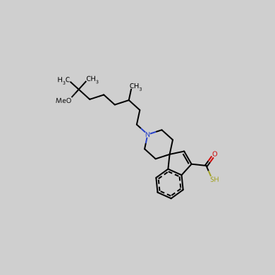 COC(C)(C)CCCC(C)CCN1CCC2(C=C(C(=O)S)c3ccccc32)CC1